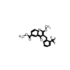 COC(=O)c1ccc2nc(OC)c(Cc3ccccc3C(F)(F)F)c(Cl)c2c1